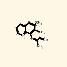 C=C/C(N)=N\c1c(C)c(C)cc2cccnc12